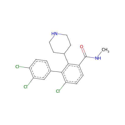 CNC(=O)c1ccc(Cl)c(-c2ccc(Cl)c(Cl)c2)c1C1CCNCC1